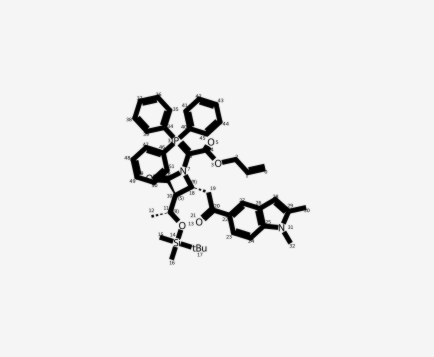 C=CCOC(=O)C(N1C(=O)[C@H]([C@@H](C)O[Si](C)(C)C(C)(C)C)[C@H]1CC(=O)c1ccc2c(c1)cc(C)n2C)=P(c1ccccc1)(c1ccccc1)c1ccccc1